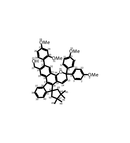 COc1ccc(C2(c3ccc(OC)cc3)C=Cc3c4c(c5cc(CO)c(-c6ccc(OC)cc6OC)cc5c3O2)-c2ccccc2C42CC(C)(C)C(C)(C)C2)cc1